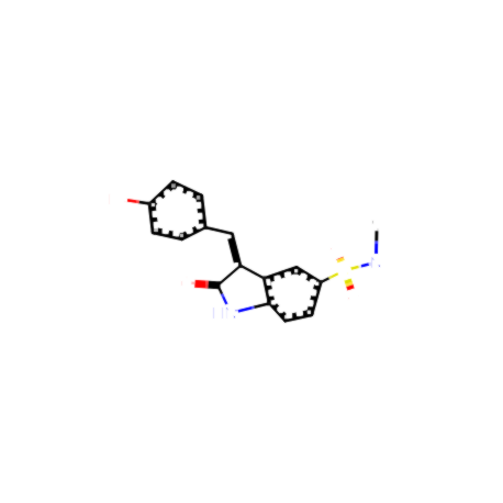 CNS(=O)(=O)c1ccc2c(c1)C(=Cc1ccc(O)cc1)C(=O)N2